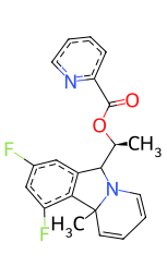 C[C@H](OC(=O)c1ccccn1)C1c2cc(F)cc(F)c2C2(C)C=CC=CN12